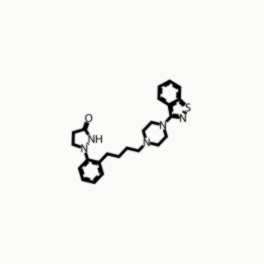 O=C1CCN(c2ccccc2CCCCN2CCN(c3nsc4ccccc34)CC2)N1